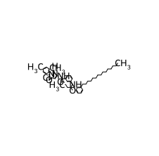 CCCCCCCCCCCCCCCc1cccc(OC(CCC)Nc2cccc(C(=O)Nc3cc(=O)n(-c4c(C)cc(C)cc4Cl)[nH]3)c2)c1